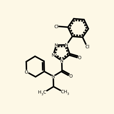 CC(C)N(C(=O)n1nnn(-c2c(Cl)cccc2Cl)c1=O)C1=CCCOC1